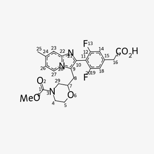 COC(=O)N1CCOC(Cc2c(-c3c(F)cc(CC(=O)O)cc3F)nc3cc(C)ccn23)C1